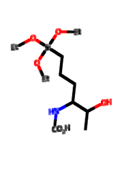 CCO[Si](CCCC(NC(=O)O)C(C)O)(OCC)OCC